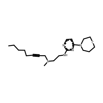 CCCCCC#CCN(C)CCNc1nccc(N2CCCCCC2)n1